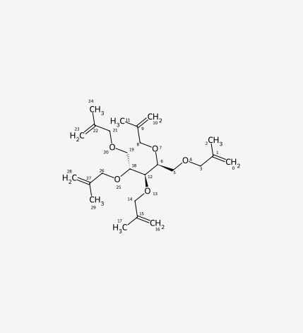 C=C(C)COC[C@H](OCC(=C)C)[C@@H](OCC(=C)C)[C@@H](COCC(=C)C)OCC(=C)C